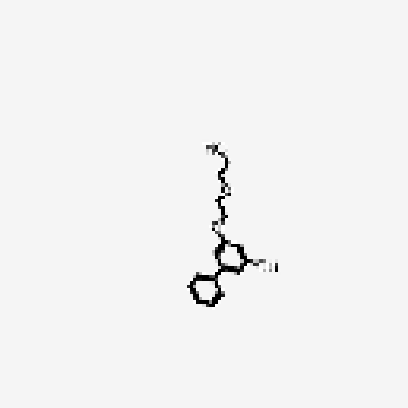 OCCOCCOc1cc(O)cc(-c2ccccc2)c1